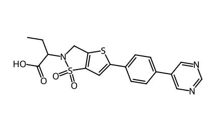 CCC(C(=O)O)N1Cc2sc(-c3ccc(-c4cncnc4)cc3)cc2S1(=O)=O